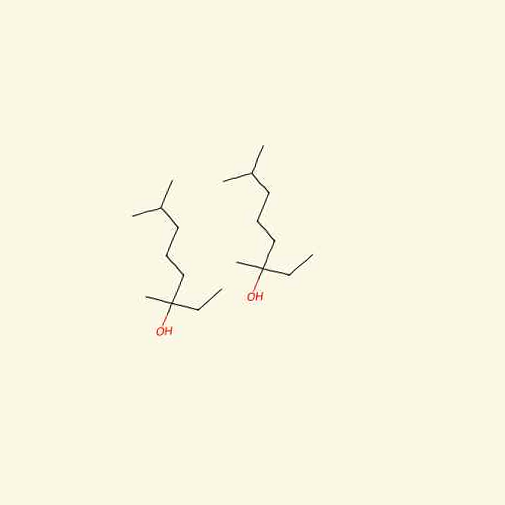 CCC(C)(O)CCCC(C)C.CCC(C)(O)CCCC(C)C